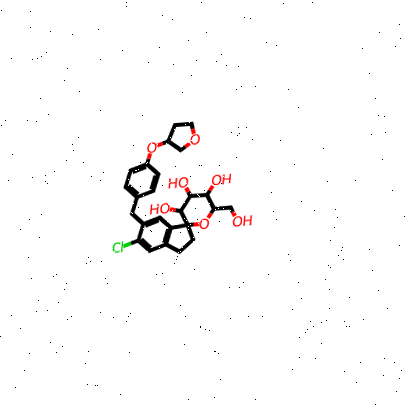 OCC1OC2(CCc3cc(Cl)c(Cc4ccc(OC5CCOC5)cc4)cc32)C(O)C(O)C1O